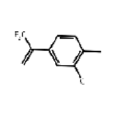 C=C(c1ccc(C)c(Cl)c1)C(F)(F)F